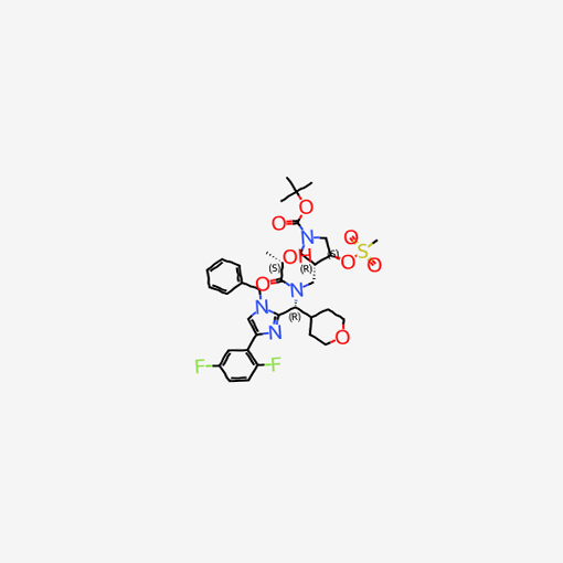 C[C@H](O)C(=O)N(C[C@@H]1CN(C(=O)OC(C)(C)C)C[C@H]1OS(C)(=O)=O)[C@@H](c1nc(-c2cc(F)ccc2F)cn1Cc1ccccc1)C1CCOCC1